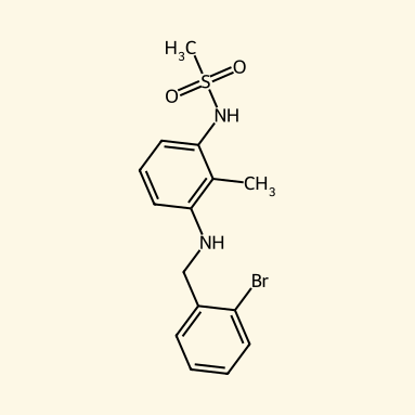 Cc1c(NCc2ccccc2Br)cccc1NS(C)(=O)=O